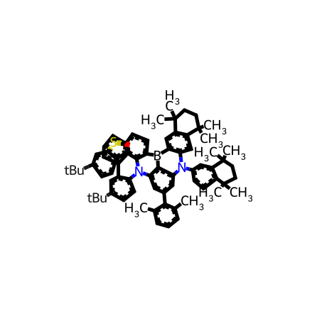 Cc1cccc(C)c1-c1cc2c3c(c1)N(c1ccc(C(C)(C)C)cc1-c1ccccc1)c1c(ccc4sc5cc(C(C)(C)C)ccc5c14)B3c1cc3c(cc1N2c1ccc2c(c1)C(C)(C)CCC2(C)C)C(C)(C)CCC3(C)C